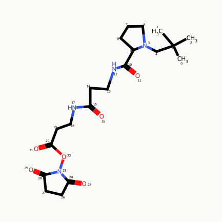 CC(C)(C)CN1CCCC1C(=O)NCCC(=O)NCCC(=O)ON1C(=O)CCC1=O